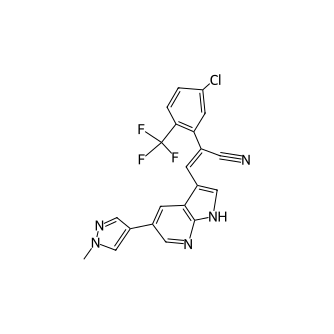 Cn1cc(-c2cnc3[nH]cc(C=C(C#N)c4cc(Cl)ccc4C(F)(F)F)c3c2)cn1